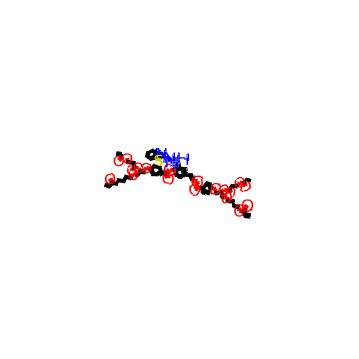 C=CC(=O)CCCCCOCC(COc1ccc(C(=O)Oc2ccc(CCOC(=O)c3ccc(OCC(COCCCCOC(=O)C=C)OC(=O)CCOC(=O)C=C)cc3)cc2/C=N/Nc2nc3ccccc3s2)cc1)OC(=O)CCOC(=O)C=C